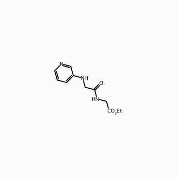 CCOC(=O)CNC(=O)CNc1cccnc1